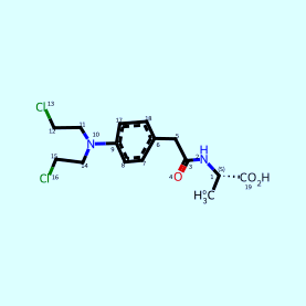 C[C@H](NC(=O)Cc1ccc(N(CCCl)CCCl)cc1)C(=O)O